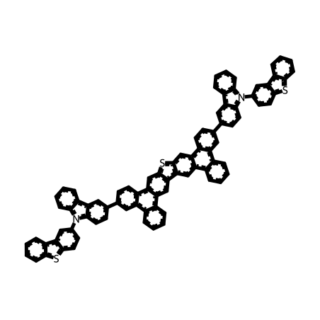 c1ccc2c(c1)sc1ccc(-n3c4ccccc4c4cc(-c5ccc6c(c5)c5ccccc5c5cc7c(cc65)sc5cc6c8ccc(-c9ccc%10c(c9)c9ccccc9n%10-c9ccc%10sc%11ccccc%11c%10c9)cc8c8ccccc8c6cc57)ccc43)cc12